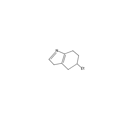 CCC1CCC2=C(CC=N2)C1